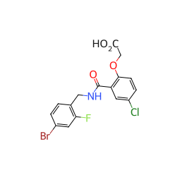 O=C(O)COc1ccc(Cl)cc1C(=O)NCc1ccc(Br)cc1F